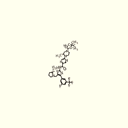 C[C@@H]1CCCN1Cc1sc(NC(=O)c2cnc(N3CCN(C(=O)OC(C)(C)C)C[C@H]3C)cn2)nc1-c1cc(F)cc(C(F)(F)F)c1